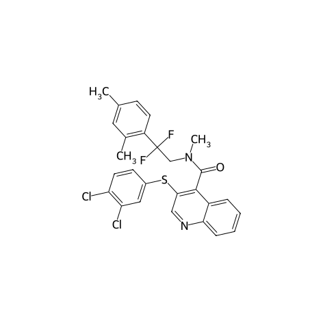 Cc1ccc(C(F)(F)CN(C)C(=O)c2c(Sc3ccc(Cl)c(Cl)c3)cnc3ccccc23)c(C)c1